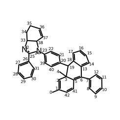 CC1=CC2(C)C(=C(c3ccccc3)c3ccccc3C2c2ccc(N3C(c4ccccc4)=NC4CCC=CC43)cc2)C=C1